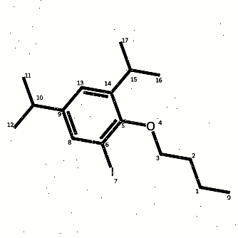 CCCCOc1c(I)cc(C(C)C)cc1C(C)C